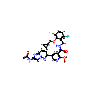 COc1ncc(-c2ccc3nc(NC(C)=O)cn3n2)cc1C(=O)NCc1c(F)ccc(F)c1OCC1CC1